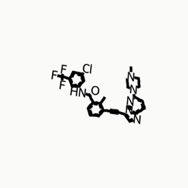 Cc1c(C#Cc2cnc3ccc(N4CCN(C)CC4)nn23)cccc1C(=O)Nc1cc(Cl)cc(C(F)(F)F)c1